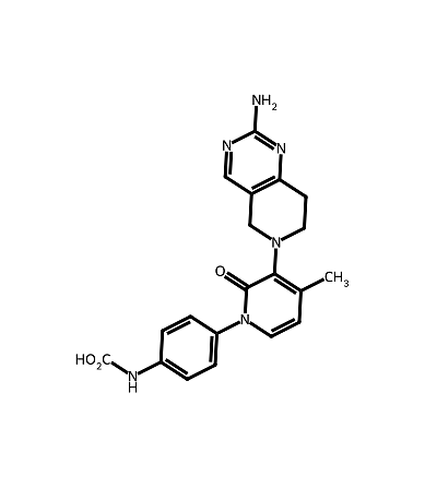 Cc1ccn(-c2ccc(NC(=O)O)cc2)c(=O)c1N1CCc2nc(N)ncc2C1